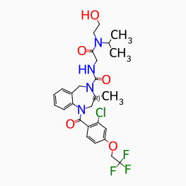 CC(C)N(CCO)C(=O)CNC(=O)N1Cc2ccccc2N(C(=O)c2ccc(OCC(F)(F)F)cc2Cl)C[C@H]1C